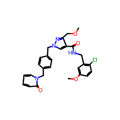 COCc1nn(Cc2ccc(Cn3ccccc3=O)cc2)cc1C(=O)NCc1cc(OC)ccc1Cl